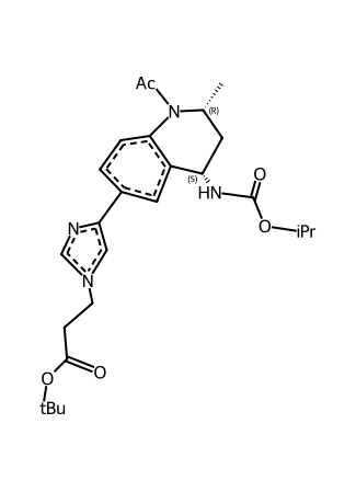 CC(=O)N1c2ccc(-c3cn(CCC(=O)OC(C)(C)C)cn3)cc2[C@@H](NC(=O)OC(C)C)C[C@H]1C